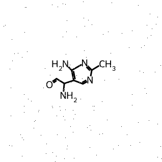 Cc1ncc(C(N)C=O)c(N)n1